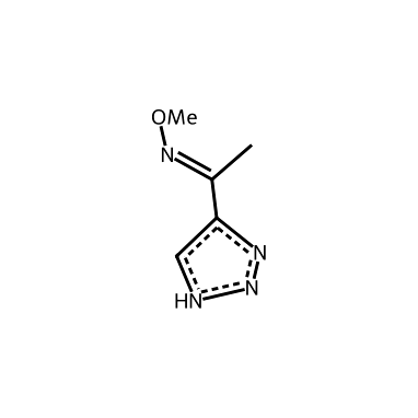 CON=C(C)c1c[nH]nn1